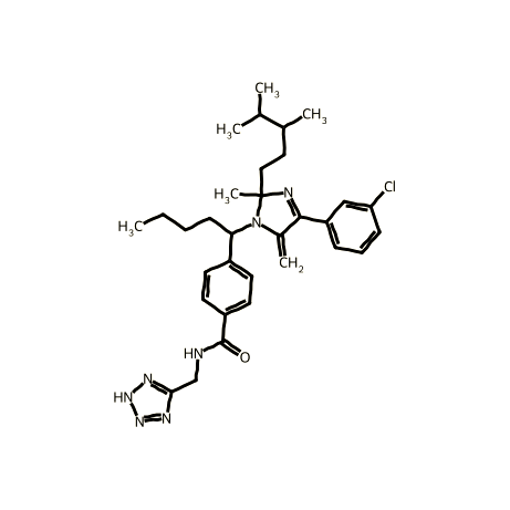 C=C1C(c2cccc(Cl)c2)=NC(C)(CCC(C)C(C)C)N1C(CCCC)c1ccc(C(=O)NCc2nn[nH]n2)cc1